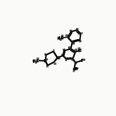 CCCC(F)c1cc(N2CCN(C)CC2)cc(-c2ccccc2C)c1Cl